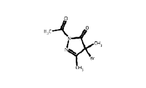 CC(=O)N1N=C(C)C(C)(Br)C1=O